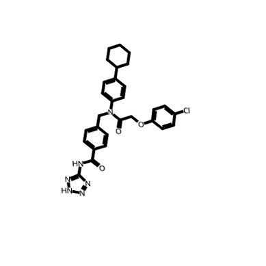 O=C(Nc1nn[nH]n1)c1ccc(CN(C(=O)COc2ccc(Cl)cc2)c2ccc(C3CCCCC3)cc2)cc1